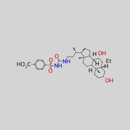 CC[C@H]1[C@@H](O)[C@@H]2[C@H](CC[C@]3(C)[C@@H]([C@H](C)CCNC(=O)NS(=O)(=O)c4ccc(C(=O)O)cc4)CC[C@@H]23)[C@@]2(C)CC[C@@H](O)C[C@@H]12